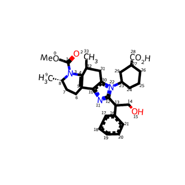 COC(=O)N1C2=C(CC[C@@H]1C)c1nc(C(CO)c3ccccc3)n(C3CCCC(C(=O)O)C3)c1CC2C